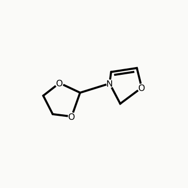 C1=CN(C2OCCO2)CO1